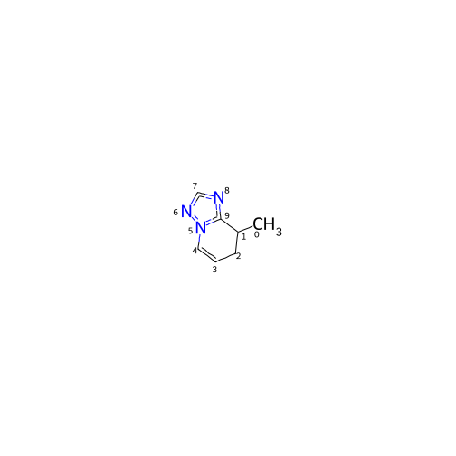 CC1CC=Cn2ncnc21